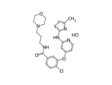 Cc1csc(Nc2cc(Oc3cc(C(=O)NCCCN4CCOCC4)ccc3Cl)ccn2)n1.Cl